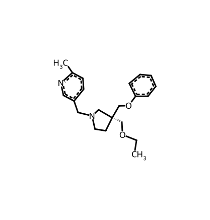 CCOC[C@]1(COc2ccccc2)CCN(Cc2ccc(C)nc2)C1